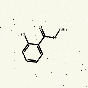 CCCC[N]C(=O)c1ccccc1Cl